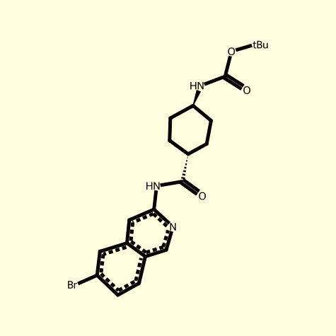 CC(C)(C)OC(=O)N[C@H]1CC[C@H](C(=O)Nc2cc3cc(Br)ccc3cn2)CC1